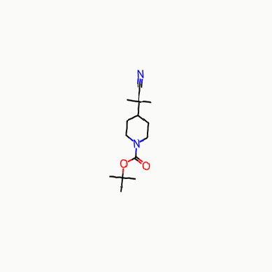 CC(C)(C)OC(=O)N1CCC(C(C)(C)C#N)CC1